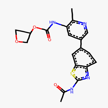 CC(=O)Nc1nc2ccc(-c3cnc(C)c(NC(=O)OC4COC4)c3)cc2s1